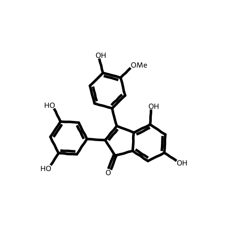 COc1cc(C2=C(c3cc(O)cc(O)c3)C(=O)c3cc(O)cc(O)c32)ccc1O